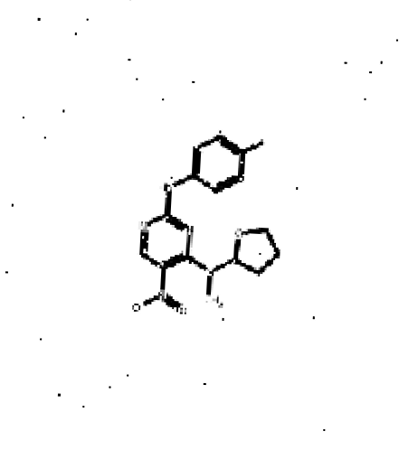 CN(c1nc(Nc2ccc(Cl)cc2)ncc1[N+](=O)[O-])C1CCCO1